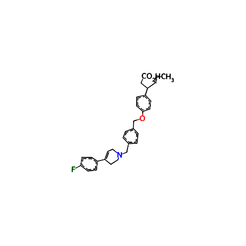 CC=CC(CC(=O)O)c1ccc(OCc2ccc(CN3CC=C(c4ccc(F)cc4)CC3)cc2)cc1